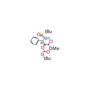 COC(=O)[C@@H](OC(=O)OC(C)(C)C)[C@H](N[S@@+]([O-])C(C)(C)C)c1ccccc1